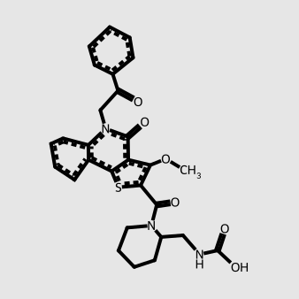 COc1c(C(=O)N2CCCCC2CNC(=O)O)sc2c1c(=O)n(CC(=O)c1ccccc1)c1ccccc21